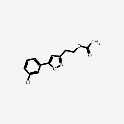 CC(=O)OCCc1cc(-c2cccc(Cl)c2)on1